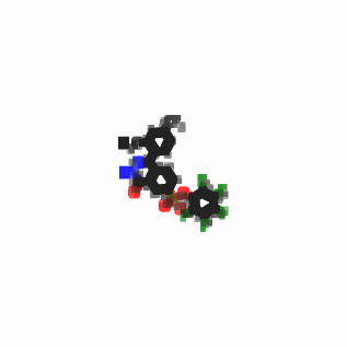 Cc1cc(C(F)(F)F)ccc1-c1n[nH]c(=O)c2cc(S(=O)(=O)Oc3c(F)c(F)c(F)c(F)c3F)ccc12